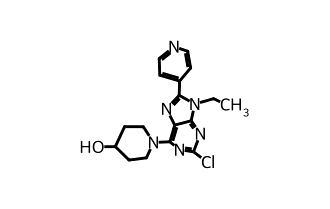 CCn1c(-c2ccncc2)nc2c(N3CCC(O)CC3)nc(Cl)nc21